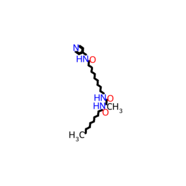 CCCCCCCCCC(=O)N[C@@H](C)C(=O)NCCCCCCCCCCC(=O)NCc1ccncc1